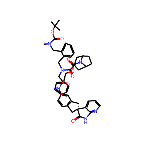 CN(Cc1ccccc1CN(CC(=O)Nc1ccc2c(c1)C[C@@]1(C2)C(=O)Nc2ncccc21)C(=O)C1(C)CC2CCC(C1)N2C(=O)OCc1ccccc1)C(=O)OC(C)(C)C